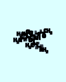 CC(=O)CSC[C@H](NC(=O)C(C)CCCN)C(=O)C[C@@H](CCN)C(N)=O